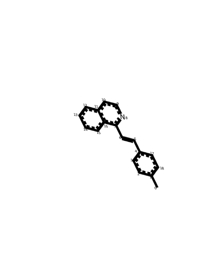 Cc1ccc(/C=C/c2nccc3ccccc23)cc1